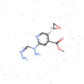 COC(=O)c1cc(N(N)/C=N\N)ncc1[C@@H]1CO1